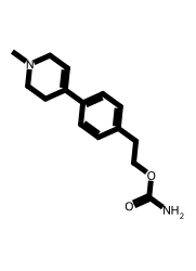 CN1CC=C(c2ccc(CCOC(N)=O)cc2)CC1